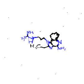 CCc1nc2c(N)nc3ccccc3c2n1CCCNC(=N)N